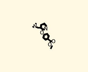 CCOC(=O)c1ccc(Oc2ncccc2CN(C)C)cc1